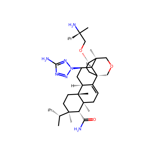 CC(C)[C@@H](C)[C@@]1(C)CC[C@]2(C)[C@H]3CC[C@@H]4[C@@]5(COC[C@]4(C)[C@@H](OC[C@@](C)(N)C(C)C)[C@H](n4nnc(N)n4)C5)C3=CC[C@@]2(C)[C@@H]1C(N)=O